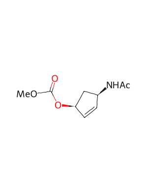 COC(=O)O[C@@H]1C=C[C@H](NC(C)=O)C1